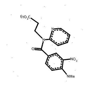 CCOC(=O)CCN(C(=O)c1ccc(NC)c([N+](=O)[O-])c1)c1ccccn1